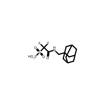 O=C(NCC12CC3CC(CC(C3)C1)C2)C(F)(F)S(=O)(=O)S(=O)(=O)O